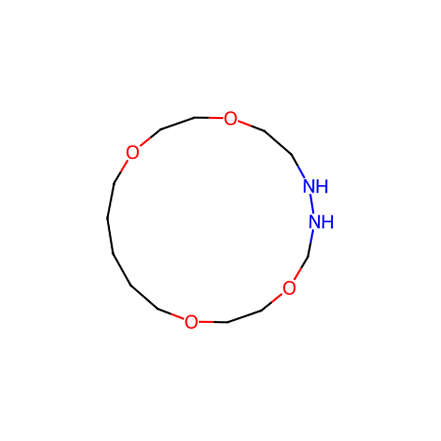 C1CCOCCOCCNNCOCCOCC1